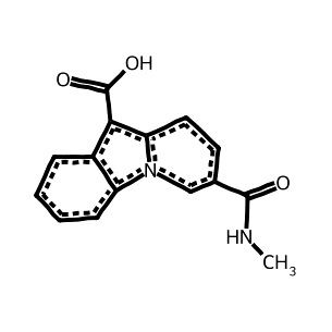 CNC(=O)c1ccc2c(C(=O)O)c3ccccc3n2c1